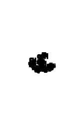 CC1CCN(Cc2ccc3nc(NC(=O)c4ccc(F)cc4)n(C4CCC(C(=O)NC(C)C)CC4)c3c2)CC1